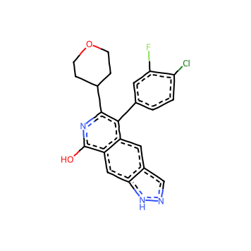 Oc1nc(C2CCOCC2)c(-c2ccc(Cl)c(F)c2)c2cc3cn[nH]c3cc12